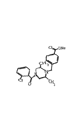 COC(=O)c1ccc(CN2C(C)CN(C(=O)c3ccccc3Cl)CC2C)cc1